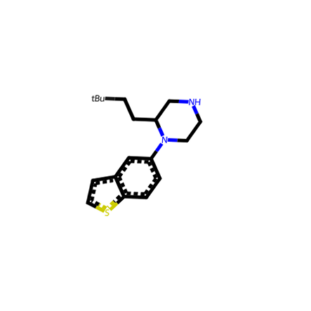 CC(C)(C)CCC1CNCCN1c1ccc2sccc2c1